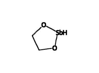 C1C[O][SbH][O]1